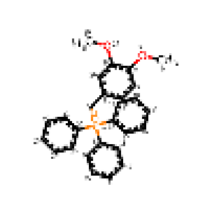 COc1ccc(C[PH](c2ccccc2)(c2ccccc2)c2ccccc2)cc1OC